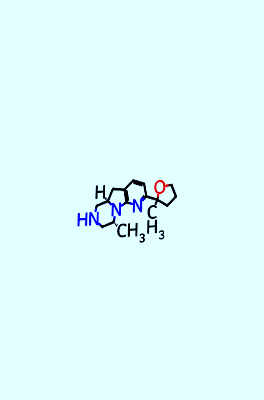 C[C@@H]1CNC[C@H]2Cc3ccc(C4(C)CCCO4)nc3N21